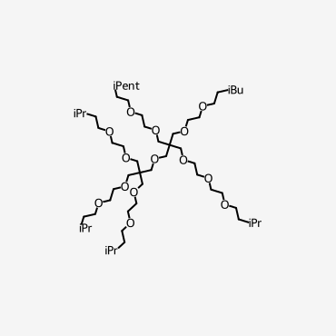 CCCC(C)CCOCCOCC(COCCOCCOCCC(C)C)(COCCOCCC(C)CC)COCC(COCCOCCC(C)C)(COCCOCCC(C)C)COCCOCCC(C)C